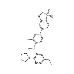 CCc1cnc(N2CCC[C@@H]2COc2ccc(-c3ccc4c(c3)OCS4(=O)=O)cc2F)nc1